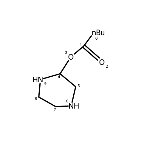 CCCCC(=O)OC1CNCCN1